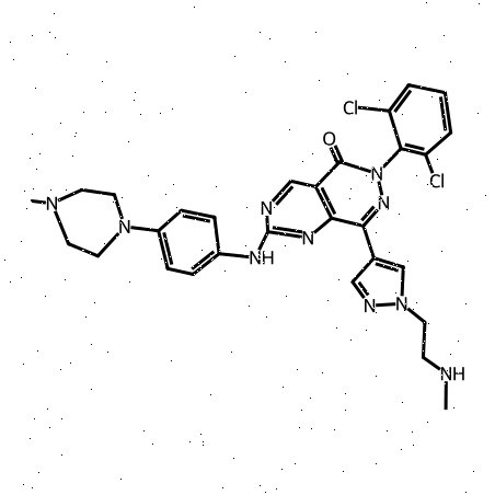 CNCCn1cc(-c2nn(-c3c(Cl)cccc3Cl)c(=O)c3cnc(Nc4ccc(N5CCN(C)CC5)cc4)nc23)cn1